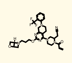 C=CC(=O)N1CCN(c2nc(OCCCN3CC4OC[C@@H]43)nc3c2CCN(c2ccccc2C(F)(F)F)C3)CC1CC#N